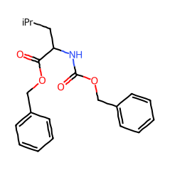 CC(C)CC(NC(=O)OCc1ccccc1)C(=O)OCc1ccccc1